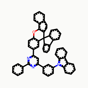 c1ccc(-c2nc(-c3cccc(-n4c5ccccc5c5ccccc54)c3)cc(-c3ccc4c(c3)C3(c5ccccc5-c5ccccc53)c3ccc5ccccc5c3O4)n2)cc1